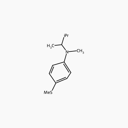 CSc1ccc(N(C)C(C)C(C)C)cc1